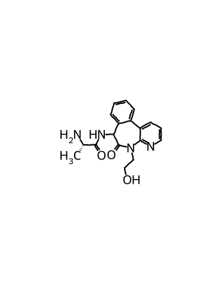 C[C@H](N)C(=O)NC1C(=O)N(CCO)c2ncccc2-c2ccccc21